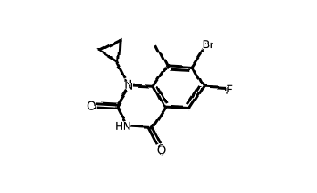 Cc1c(Br)c(F)cc2c(=O)[nH]c(=O)n(C3CC3)c12